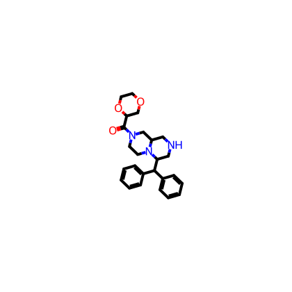 O=C(C1COCCO1)N1CCN2C(CNCC2C(c2ccccc2)c2ccccc2)C1